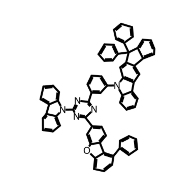 c1ccc(-c2cccc3oc4cc(-c5nc(-c6cccc(-n7c8ccccc8c8cc9c(cc87)C(c7ccccc7)(c7ccccc7)c7ccccc7-9)c6)nc(-n6c7ccccc7c7ccccc76)n5)ccc4c23)cc1